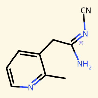 Cc1ncccc1C/C(N)=N\C#N